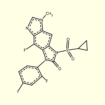 Cn1cnc2c(F)c3c(cc21)n(S(=O)(=O)C1CC1)c(=O)n3-c1ccc(I)cc1F